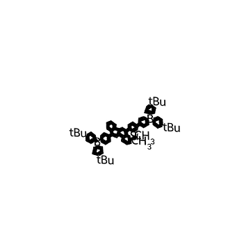 CC(C)(C)c1ccc(B(c2ccc(-c3ccc4c(c3)[Si](C)(C)c3cccc5c3c-4cc3c4ccccc4c(-c4ccc(B(c6ccc(C(C)(C)C)cc6)c6ccc(C(C)(C)C)cc6)cc4)cc53)cc2)c2ccc(C(C)(C)C)cc2)cc1